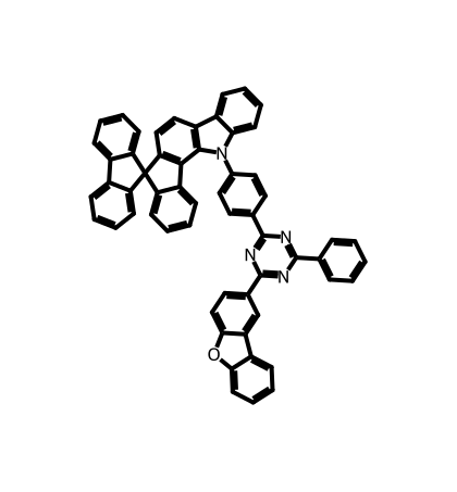 c1ccc(-c2nc(-c3ccc(-n4c5ccccc5c5ccc6c(c54)-c4ccccc4C64c5ccccc5-c5ccccc54)cc3)nc(-c3ccc4oc5ccccc5c4c3)n2)cc1